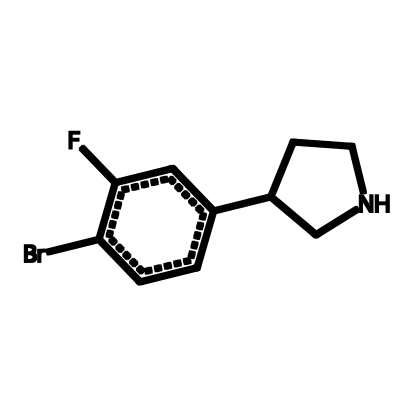 Fc1cc(C2CCNC2)ccc1Br